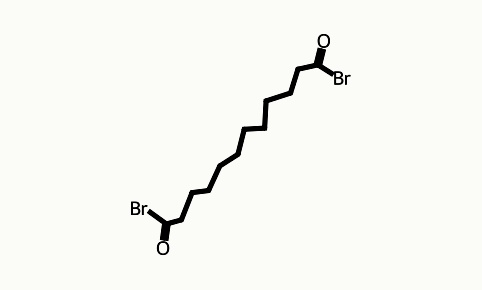 O=C(Br)CCCCCCCCCCC(=O)Br